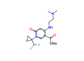 COC(=O)c1cn(C2(C(F)F)CC2)c(=O)cc1NCCN(C)C